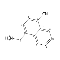 N#Cc1ccc(CN)c2ccccc12